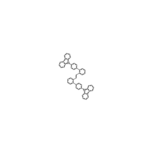 C(=C\c1ccccc1-c1ccc(-n2c3ccccc3c3ccccc32)cc1)/c1ccccc1-c1ccc(-n2c3ccccc3c3ccccc32)cc1